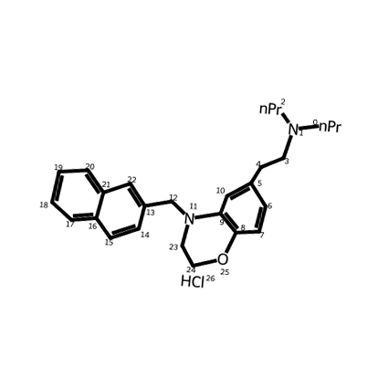 CCCN(CCC)CCc1ccc2c(c1)N(Cc1ccc3ccccc3c1)CCO2.Cl